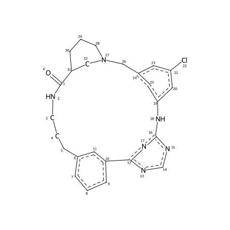 O=C1NCCCc2cccc(c2)-c2ncnc(n2)Nc2cc(Cl)cc(c2)CN2CCCC1C2